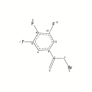 C=C(CBr)c1cc(F)c(F)c(F)c1